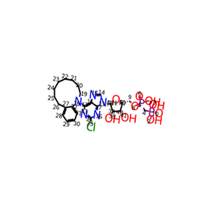 O=P(O)(O)CP(=O)(O)OC[C@H]1O[C@@H](n2cnc3c(N4CCCCCCCCc5ccccc54)nc(Cl)nc32)C(O)C1O